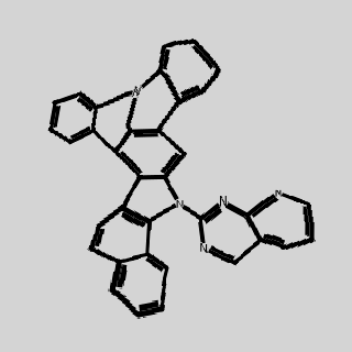 c1cnc2nc(-n3c4cc5c6ccccc6n6c7ccccc7c(c4c4ccc7ccccc7c43)c56)ncc2c1